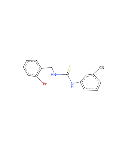 N#Cc1cccc(NC(=S)NCc2ccccc2Br)c1